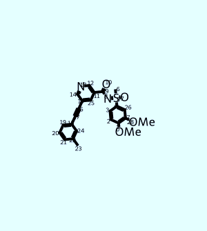 COc1ccc(S(C)(=O)=NC(=O)c2cncc(C#Cc3cccc(C)c3)c2)cc1OC